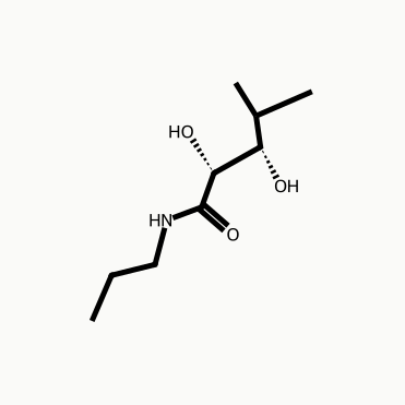 CCCNC(=O)[C@H](O)[C@@H](O)C(C)C